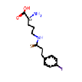 N[C@@H](CCCNC(=S)CCc1ccc(I)cc1)C(=O)O